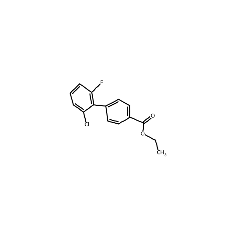 CCOC(=O)c1ccc(-c2c(F)cccc2Cl)cc1